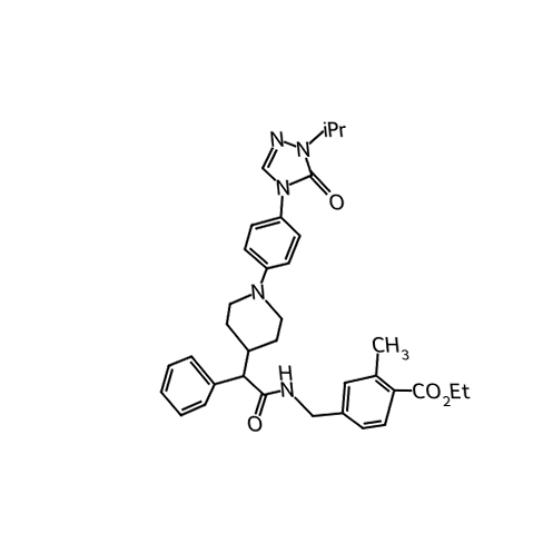 CCOC(=O)c1ccc(CNC(=O)C(c2ccccc2)C2CCN(c3ccc(-n4cnn(C(C)C)c4=O)cc3)CC2)cc1C